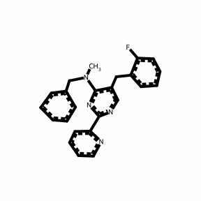 CN(Cc1ccccc1)c1nc(-c2ccccn2)ncc1Cc1ccccc1F